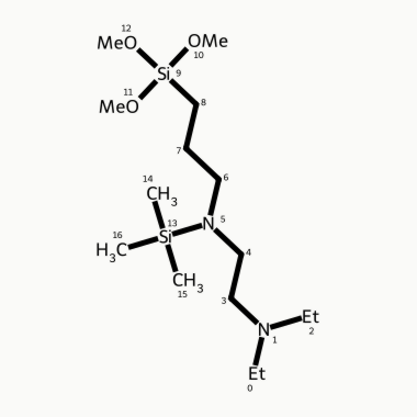 CCN(CC)CCN(CCC[Si](OC)(OC)OC)[Si](C)(C)C